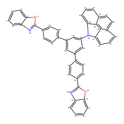 c1ccc2oc(-c3ccc(-c4cc(-c5ccc(-c6nc7ccccc7o6)cc5)cc(-n5c6cccc7ccc8cccc5c8c76)c4)cc3)nc2c1